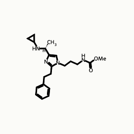 COC(=O)NCCCn1cc([C@@H](C)NC2CC2)nc1CCc1ccccc1